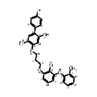 CCc1cc(-c2ccc(F)cc2)c(O)cc1OCCCOc1cccc(Oc2ccccc2C)c1CC